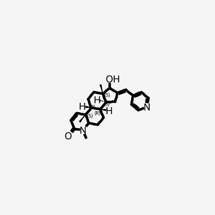 CN1C(=O)C=C[C@@]2(C)C1CC[C@@H]1[C@H]2CC[C@]2(C)C(O)C(=Cc3ccncc3)C[C@@H]12